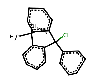 CC(C)(C)c1ccccc1C(Cl)(c1ccccc1)c1ccccc1